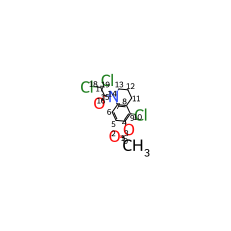 CC(=O)Oc1ccc2c(c1Cl)CCCN2C(=O)C(Cl)Cl